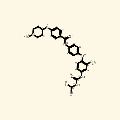 CCCCN1CCC(Oc2ccc(C(=O)Nc3ccc(Oc4ccc(NC(=O)NC(CC)CC)cc4C)cc3)cc2)CC1